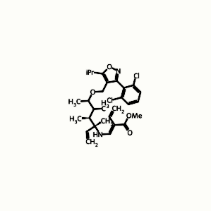 C=C/C(=C\N[C@](C)(C=C)[C@@H](C)C(C)C(C)OCc1c(-c2c(Cl)cccc2Cl)noc1C(C)C)C(=O)OC